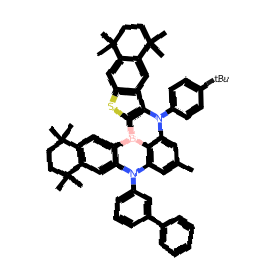 Cc1cc2c3c(c1)N(c1ccc(C(C)(C)C)cc1)c1c(sc4cc5c(cc14)C(C)(C)CCC5(C)C)B3c1cc3c(cc1N2c1cccc(-c2ccccc2)c1)C(C)(C)CCC3(C)C